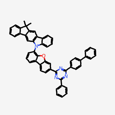 CC1(C)c2ccccc2-c2cc3c(cc21)c1ccccc1n3-c1cccc2c1oc1cc(-c3nc(-c4ccccc4)nc(-c4ccc(-c5ccccc5)cc4)n3)ccc12